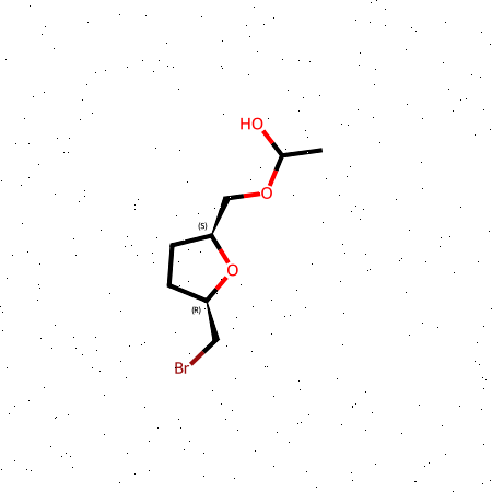 CC(O)OC[C@@H]1CC[C@H](CBr)O1